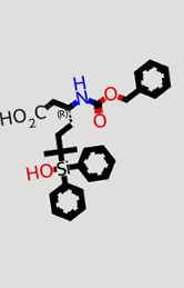 CC(C)(CC[C@H](CC(=O)O)NC(=O)OCc1ccccc1)[Si](O)(c1ccccc1)c1ccccc1